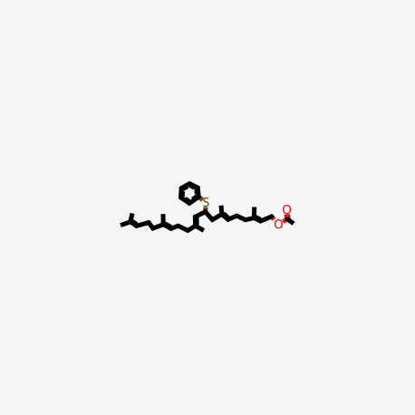 CC(=O)OC/C=C(\C)CC/C=C(\C)CC(/C=C(\C)CC/C=C(\C)CCC=C(C)C)Sc1ccccc1